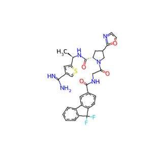 C[C@@H](NC(=O)[C@@H]1CC(c2ncco2)CN1C(=O)CNC(=O)c1ccc2c(c1)-c1ccccc1C2(F)F)c1cc(C(=N)N)cs1